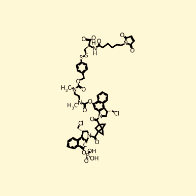 CN(CCN(C)C(=O)Oc1cc2c(c3ccccc13)[C@H](CCl)CN2C(=O)C12CC3(C(=O)N4C[C@@H](CCl)c5c4cc(OP(=O)(O)O)c4ccccc54)CC13C2)C(=O)OCc1ccc(SSC[C@H](NC(=O)CCCCCN2C(=O)C=CC2=O)C(=O)O)cc1